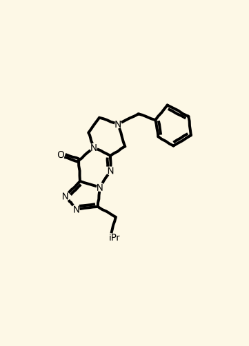 CC(C)Cc1nnc2c(=O)n3c(nn12)CN(Cc1ccccc1)CC3